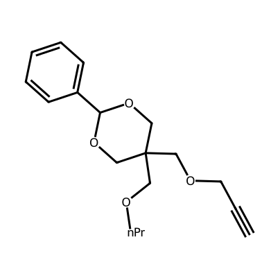 C#CCOCC1(COCCC)COC(c2ccccc2)OC1